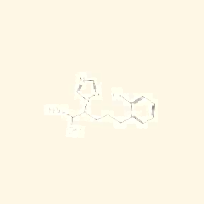 CC(C)(C)C(O)C(CCCc1ccccc1Cl)n1cncn1